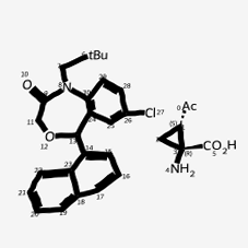 CC(=O)[C@H]1C[C@]1(N)C(=O)O.CC(C)(C)CN1C(=O)COC(c2cccc3ccccc23)c2cc(Cl)ccc21